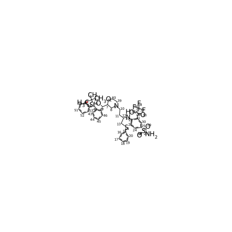 CC(C)(C)[Si](OCC1CN(CCC(CSc2ccccc2)Nc2ccc(S(N)(=O)=O)cc2S(=O)(=O)C(F)(F)F)CCO1)(c1ccccc1)c1ccccc1